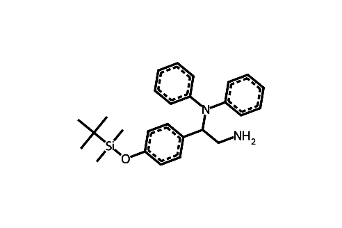 CC(C)(C)[Si](C)(C)Oc1ccc(C(CN)N(c2ccccc2)c2ccccc2)cc1